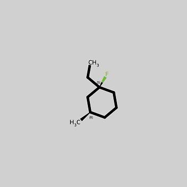 CC[C@]1(F)CCC[C@@H](C)C1